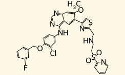 COc1cc2ncnc(Nc3ccc(OCc4cccc(F)c4)c(Cl)c3)c2cc1-c1csc(CNCCS(=O)(=O)c2ccccn2)n1